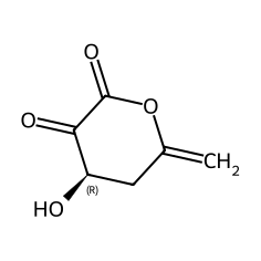 C=C1C[C@@H](O)C(=O)C(=O)O1